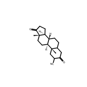 C[C@]12CC(C#N)C(=O)CC1CC[C@@H]1[C@@H]2CC[C@]2(C)C(=O)CC[C@@H]12